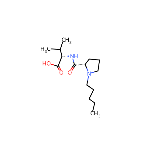 CCCCCN1CCC[C@H]1C(=O)N[C@H](C(=O)O)C(C)C